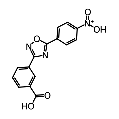 O=C(O)c1cccc(-c2noc(-c3ccc([N+](=O)O)cc3)n2)c1